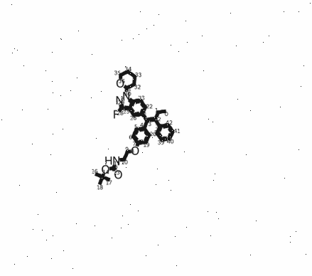 CC/C(=C(/c1ccc(OCCNC(=O)OC(C)(C)C)cc1)c1ccc2c(c1)c(F)nn2C1CCCCO1)c1ccccc1